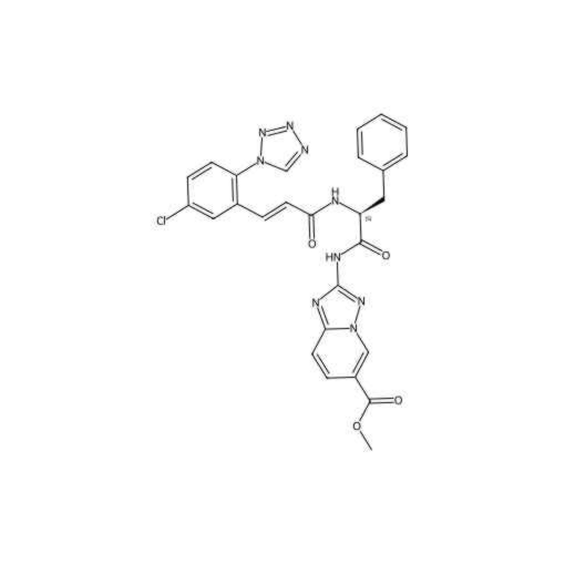 COC(=O)c1ccc2nc(NC(=O)[C@H](Cc3ccccc3)NC(=O)C=Cc3cc(Cl)ccc3-n3cnnn3)nn2c1